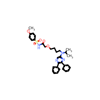 COc1ccc(S(=O)(=O)NC(=O)COCCCCN(c2cnc(-c3ccccc3)c(-c3ccccc3)n2)C(C)C)cc1